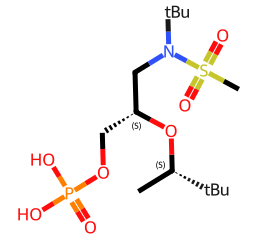 C[C@H](O[C@H](COP(=O)(O)O)CN(C(C)(C)C)S(C)(=O)=O)C(C)(C)C